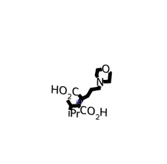 CC(C)C(C)/C(C(=O)O)=C(/CCCN1CCOCC1)C(=O)O